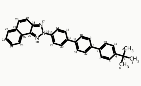 CC(C)(C)c1ccc(-c2ccc(-c3ccc(-n4nc5ccc6ccccc6c5n4)cc3)cc2)cc1